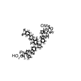 COC(=O)N[C@H](C(=O)N1CCC[C@H]1c1nc2cc([C@H]3CC[C@H](c4ccc5[nH]c([C@@H]6CCCN6C(=O)[C@H](C(C)C)N(C)C(=O)O)nc5c4)N3c3cc(F)c(N4CCC(c5ccc(F)c(F)c5)CC4)c(F)c3)ccc2[nH]1)C(C)C